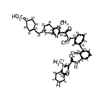 Cn1c(C(=O)Nc2cccc(-c3cccc(N(Cl)C(=O)c4nc5c(n4C)CCN(CC4CCC(C(=O)O)CC4)C5)c3)c2Cl)nc2c1CCNC2